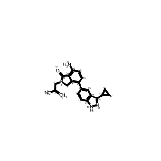 C=C(C#N)CN1Cc2c(-c3ccc4[nH]nc(C5CC5)c4c3)ccc(N)c2C1=O